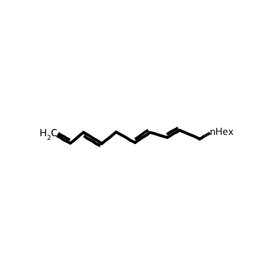 C=CC=CCC=CC=CCCCCCCC